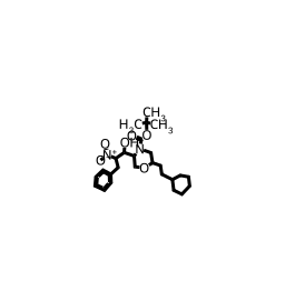 CC(C)(C)OC(=O)N1CC(CCC2CCCCC2)OCC1C(O)C(Cc1ccccc1)[N+](=O)[O-]